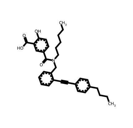 CCCCCCN(Cc1ccccc1C#Cc1ccc(CCCC)cc1)C(=O)c1ccc(O)c(C(=O)O)c1